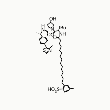 Cc1ccc(S(=O)(=O)O)c(CCCCCCCCCCCCCCC(=O)N[C@H](C(=O)N2C[C@H](O)C[C@H]2C(=O)N[C@@H](C)c2ccc(-c3scnc3C)cc2)C(C)(C)C)c1